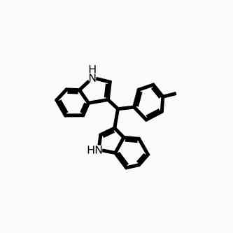 Cc1ccc(C(c2c[nH]c3ccccc23)c2c[nH]c3ccccc23)cc1